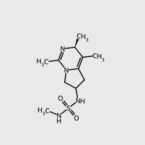 CNS(=O)(=O)NC1CC2=C(C)[C@H](C)N=C(C)N2C1